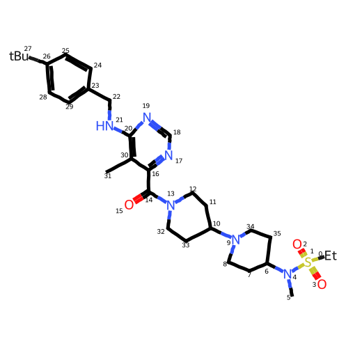 CCS(=O)(=O)N(C)C1CCN(C2CCN(C(=O)c3ncnc(NCc4ccc(C(C)(C)C)cc4)c3C)CC2)CC1